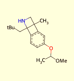 COC(C)Oc1ccc2c(c1)C1(C)CNC21CC(C)(C)C